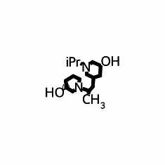 CC(C)N1CC(O)CC(CC(C)N2CCC[C@@H](O)C2)C1